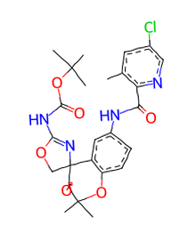 Cc1cc(Cl)cnc1C(=O)Nc1ccc2c(c1)C1(COC(NC(=O)OC(C)(C)C)=N1)C1(COC1)C(C)(C)O2